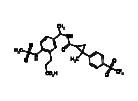 CC(NC(=O)C1CC1(C)c1ccc(S(=O)(=O)C(F)(F)F)cc1)c1ccc(NS(C)(=O)=O)c(CCC(=O)O)c1